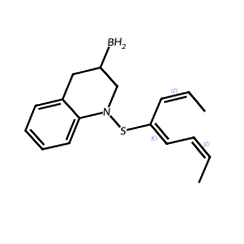 BC1Cc2ccccc2N(SC(/C=C\C)=C/C=C\C)C1